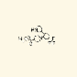 COC(=O)C1CCN(c2cc(C(F)(F)F)ccc2C2=CCCNC2)CC1